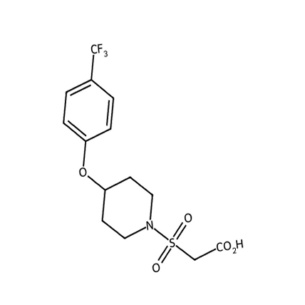 O=C(O)CS(=O)(=O)N1CCC(Oc2ccc(C(F)(F)F)cc2)CC1